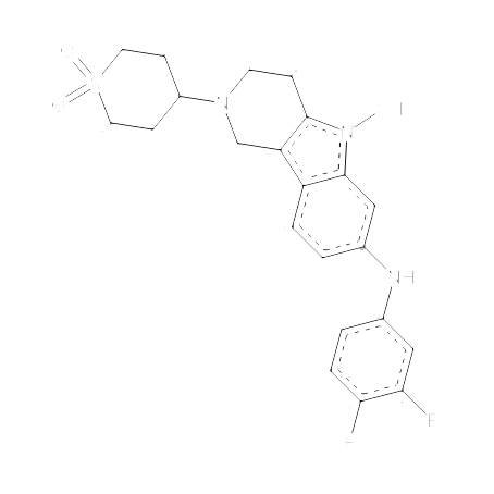 Cn1c2c(c3ccc(Nc4ccc(F)c(F)c4)cc31)CN(C1CCS(=O)(=O)CC1)CC2